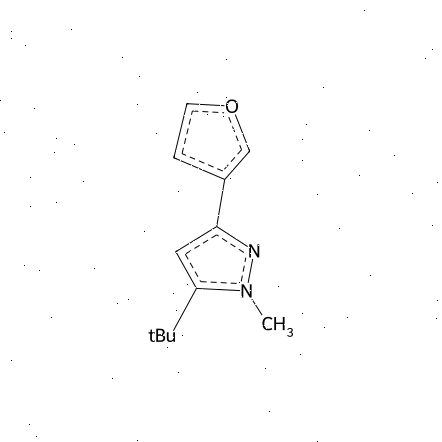 Cn1nc(-c2ccoc2)cc1C(C)(C)C